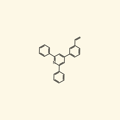 C=Cc1cccc(-c2cc(-c3ccccc3)nc(-c3ccccc3)c2)c1